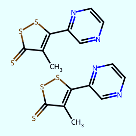 Cc1c(-c2cnccn2)ssc1=S.Cc1c(-c2cnccn2)ssc1=S